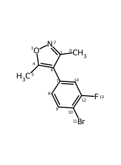 Cc1noc(C)c1-c1ccc(Br)c(F)c1